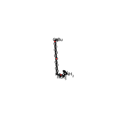 CCCN(Cc1ccc(CN(C)CCOCCOCCOCCOCCOCCOCCOCCOCCOCCOCCC(=O)OC(C)(C)C)cc1C(F)(F)F)C(=O)C1=Cc2sccc2N=C(N)C1